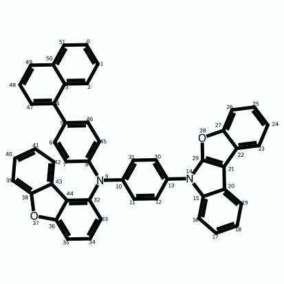 c1ccc2c(-c3ccc(N(c4ccc(-n5c6ccccc6c6c7ccccc7oc65)cc4)c4cccc5oc6ccccc6c45)cc3)cccc2c1